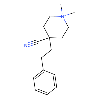 C[N+]1(C)CCC(C#N)(CCc2ccccc2)CC1